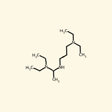 CCN(CC)CCCNC(C)N(CC)CC